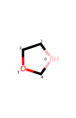 B1CCOC1